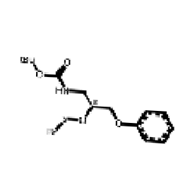 CC(C)(C)OC(=O)NC[C@@H](COc1ccccc1)OSBr